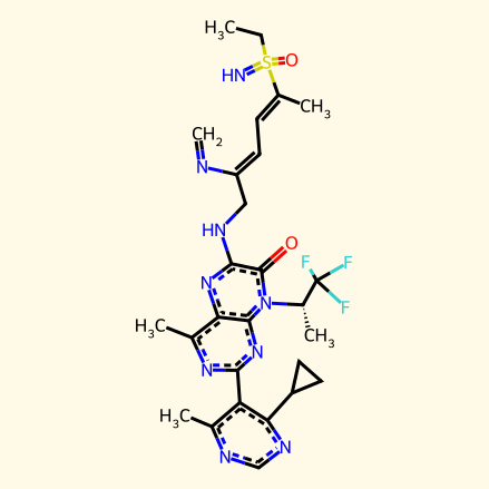 C=N/C(=C\C=C(/C)S(=N)(=O)CC)CNc1nc2c(C)nc(-c3c(C)ncnc3C3CC3)nc2n([C@@H](C)C(F)(F)F)c1=O